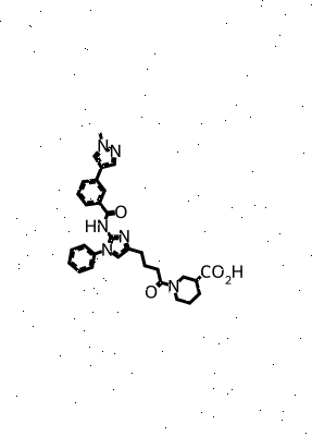 Cn1cc(-c2cccc(C(=O)Nc3nc(CCCC(=O)N4CCCC(C(=O)O)C4)cn3-c3ccccc3)c2)cn1